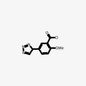 COc1ccc(C2C=NN=N2)cc1C(=O)Cl